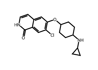 O=c1[nH]ccc2cc(OC3CCC(NC4CC4)CC3)c(Cl)cc12